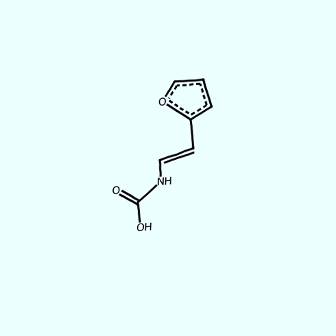 O=C(O)NC=Cc1ccco1